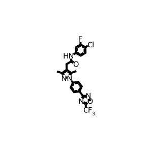 Cc1nn(-c2ccc(-c3noc(C(F)(F)F)n3)cc2)c(C)c1CC(=O)Nc1ccc(Cl)c(F)c1